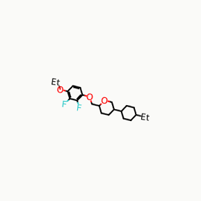 CCOc1ccc(OCC2CCC(C3CCC(CC)CC3)CO2)c(F)c1F